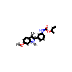 C=CC(C)OC(=O)Nc1cccc(-c2c(C#N)c3ccc(OC(C)C)cc3n2CC)c1